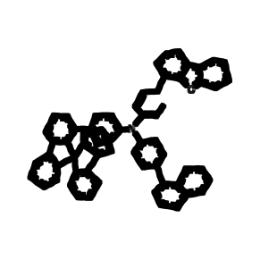 C/C=C(\C=C/Cc1cccc2c1oc1ccccc12)N(c1ccc(-c2cccc3c2C2(c4ccccc4-c4ccccc42)c2ccccc2-3)cc1)c1ccc(-c2cccc3ccccc23)cc1